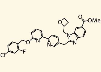 COC(=O)c1ccc2nc(Cc3ccc(-c4cccc(OCc5ccc(Cl)cc5F)n4)nc3)n(C[C@@H]3CCO3)c2c1